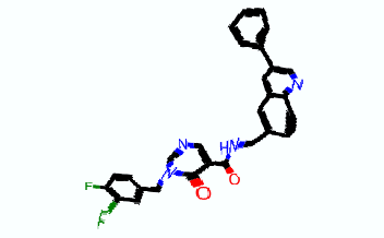 O=C(NCc1ccc2ncc(-c3ccccc3)cc2c1)c1cncn(Cc2ccc(F)c(F)c2)c1=O